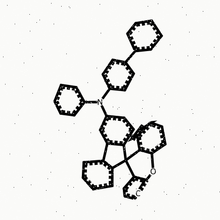 c1ccc(-c2ccc(N(c3ccccc3)c3ccc4c(c3)-c3ccccc3C43c4ccccc4Oc4ccc5ccccc5c43)cc2)cc1